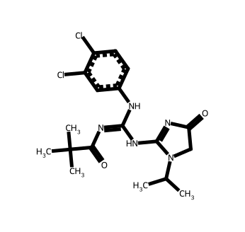 CC(C)N1CC(=O)N=C1NC(=NC(=O)C(C)(C)C)Nc1ccc(Cl)c(Cl)c1